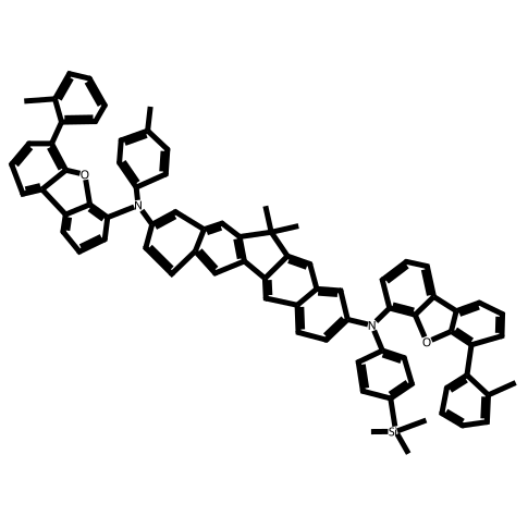 Cc1ccc(N(c2ccc3cc4c(cc3c2)C(C)(C)c2cc3cc(N(c5ccc([Si](C)(C)C)cc5)c5cccc6c5oc5c(-c7ccccc7C)cccc56)ccc3cc2-4)c2cccc3c2oc2c(-c4ccccc4C)cccc23)cc1